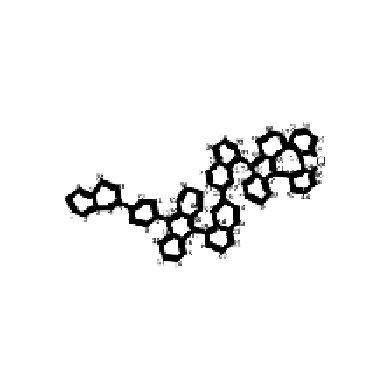 c1ccc2cc(-c3ccc(-c4c5ccccc5c(-c5cccc6ccc(-c7ccc8cccc(-c9c%10ccccc%10c(-c%10cccc%11oc%12ccccc%12c%10%11)c%10ccccc9%10)c8c7)cc56)c5ccccc45)cc3)ccc2c1